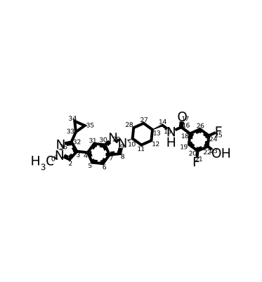 Cn1cc(-c2ccc3cn([C@H]4CC[C@H](CNC(=O)c5cc(F)c(O)c(F)c5)CC4)nc3c2)c(C2CC2)n1